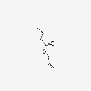 C=CCOC(=O)CSC